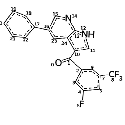 O=C(c1cc(F)cc(C(F)(F)F)c1)c1c[nH]c2ncc(-c3ccccc3)cc12